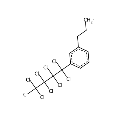 [CH2]CCc1cccc(C(Cl)(Cl)C(Cl)(Cl)C(Cl)(Cl)C(Cl)(Cl)Cl)c1